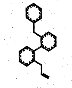 C=CCc1ccccc1-c1ccc[c]c1Cc1ccccc1